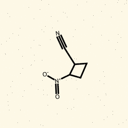 N#CC1CCC1[N+](=O)[O-]